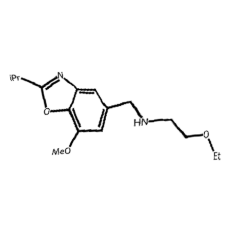 CCOCCNCc1cc(OC)c2oc(C(C)C)nc2c1